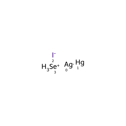 [Ag].[Hg].[I-].[SeH3+]